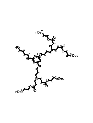 CCCCCCCCCCCCOC(=O)CCN(CCCNc1nc(NCCCCO)nc(NCCCN(CCC(=O)OCCCCCCCCCCCC)CCC(=O)OCCCCCCCCCCCC)n1)CCC(=O)OCCCCCCCCCCCC